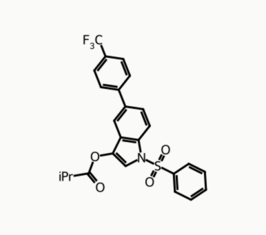 CC(C)C(=O)Oc1cn(S(=O)(=O)c2ccccc2)c2ccc(-c3ccc(C(F)(F)F)cc3)cc12